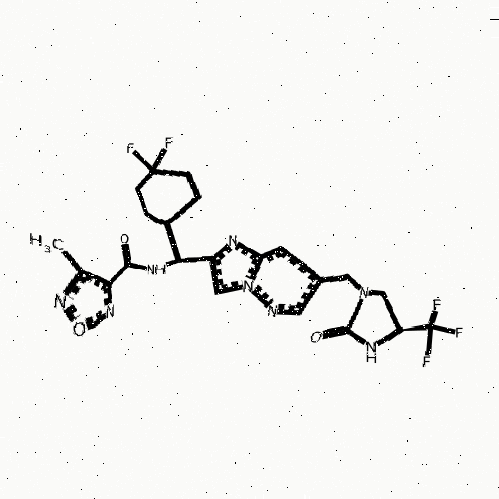 Cc1nonc1C(=O)NC(c1cn2ncc(CN3C[C@@H](C(F)(F)F)NC3=O)cc2n1)C1CCC(F)(F)CC1